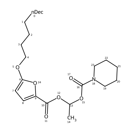 CCCCCCCCCCCCCCOc1ccc(C(=O)OC(C)OC(=O)N2CCCCC2)o1